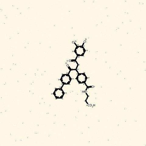 O=C(O)CCNC(=O)c1ccc(C(CC(=O)c2ccc(Cl)c(Cl)c2)C(=O)c2ccc(-c3ccccc3)cc2)cc1